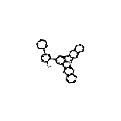 CC(C)c1ccc(-c2ccccc2)cc1-c1cc2c3cc4ccccc4cc3n3c4cc5ccccc5cc4c(c1)c23